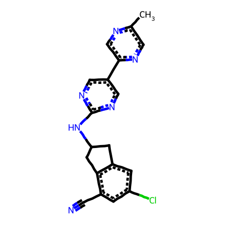 Cc1cnc(-c2cnc(NC3Cc4cc(Cl)cc(C#N)c4C3)nc2)cn1